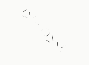 NC(=O)C=Cc1ccc2c(c1)CC[C@@H](CNC[C@H](O)c1cccnc1)O2